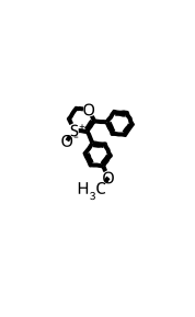 COc1ccc(C2=C(c3ccccc3)OCC[S+]2[O-])cc1